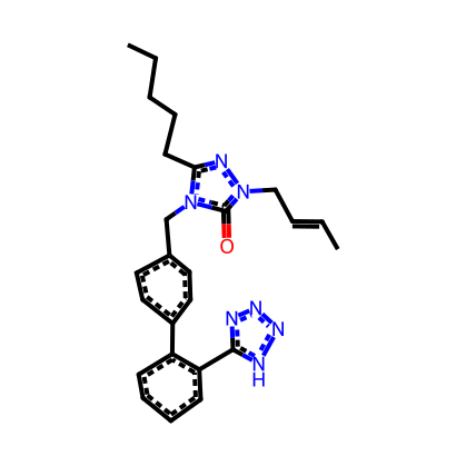 CC=CCn1nc(CCCCC)n(Cc2ccc(-c3ccccc3-c3nnn[nH]3)cc2)c1=O